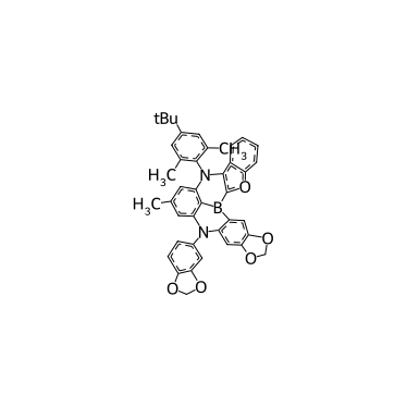 Cc1cc2c3c(c1)N(c1c(C)cc(C(C)(C)C)cc1C)c1c(oc4ccccc14)B3c1cc3c(cc1N2c1ccc2c(c1)OCO2)OCO3